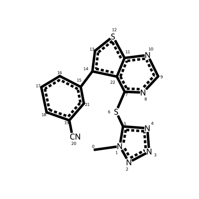 Cn1nnnc1Sc1ncnc2scc(-c3cccc(C#N)c3)c12